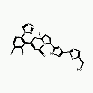 O=C1C=C(c2c(-n3cnnn3)ccc(Cl)c2F)C[C@H]2CC[C@@H](c3nc(-c4ncc(CO)s4)c[nH]3)N12